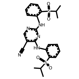 CC(C)S(=O)(=O)c1ccccc1Nc1ncc(C#N)c(Nc2ccccc2S(=O)(=O)C(C)C)n1